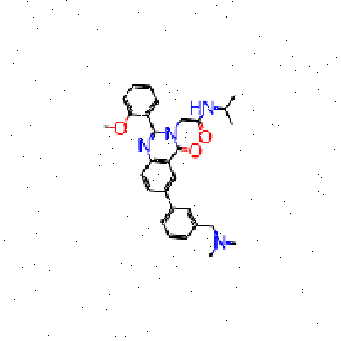 COc1ccccc1-c1nc2ccc(-c3cccc(CN(C)C)c3)cc2c(=O)n1CC(=O)NC(C)C